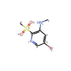 CNc1cc(Br)cnc1S(C)(=O)=O